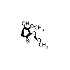 COCOc1c(Br)ccc(O)c1OC